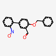 O=Cc1cc(-c2ccccc2N=O)ccc1OCc1ccccc1